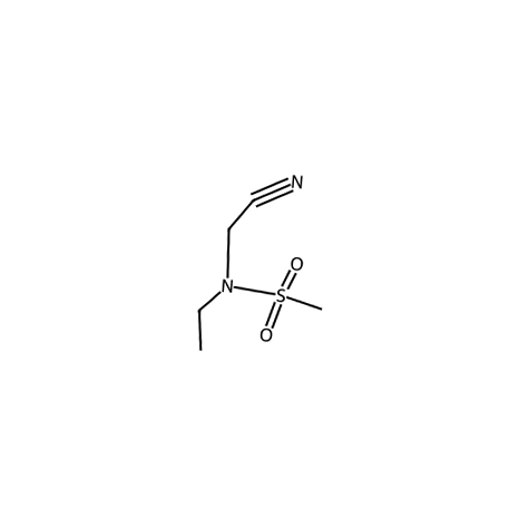 CCN(CC#N)S(C)(=O)=O